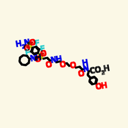 NS(=O)(=O)c1c(F)c(F)c(S(=O)(=O)CCC(=O)NCCOCCOCCC(=O)NC(Cc2ccc(O)cc2)C(=O)O)c(NC2CCCCCCC2)c1F